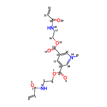 C=CC(=O)NCCOC(=O)c1cc(C(=O)OCCNC(=O)C=C)c[n+](C)c1